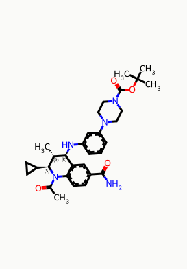 CC(=O)N1c2ccc(C(N)=O)cc2[C@H](Nc2cccc(N3CCN(C(=O)OC(C)(C)C)CC3)c2)[C@@H](C)[C@@H]1C1CC1